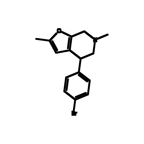 Cc1cc2c(o1)CN(C)CC2c1ccc(Br)cc1